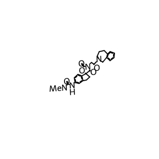 CNC(=O)Nc1ccc2c(c1)CCC21OC(=O)N(CC(=O)N2CCCc3ccccc3C2)C1=O